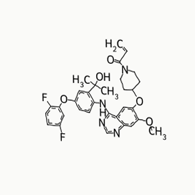 C=CC(=O)N1CCC(Oc2cc3c(Nc4ccc(Oc5cc(F)ccc5F)cc4C(C)(C)O)ncnc3cc2OC)CC1